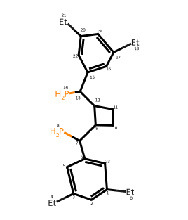 CCc1cc(CC)cc(C(P)C2CCC2C(P)c2cc(CC)cc(CC)c2)c1